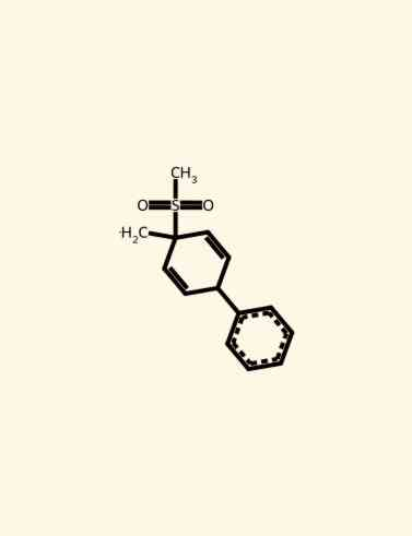 [CH2]C1(S(C)(=O)=O)C=CC(c2ccccc2)C=C1